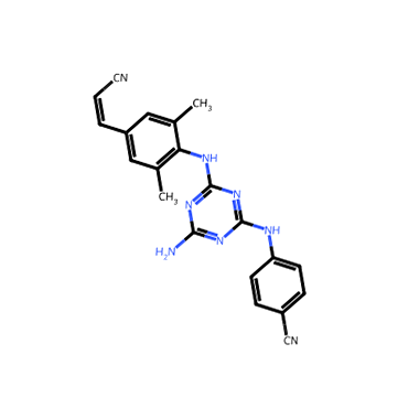 Cc1cc(/C=C\C#N)cc(C)c1Nc1nc(N)nc(Nc2ccc(C#N)cc2)n1